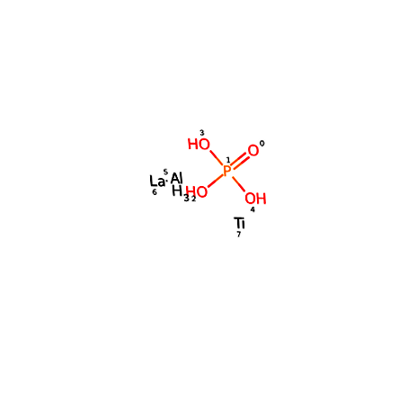 O=P(O)(O)O.[AlH3].[La].[Ti]